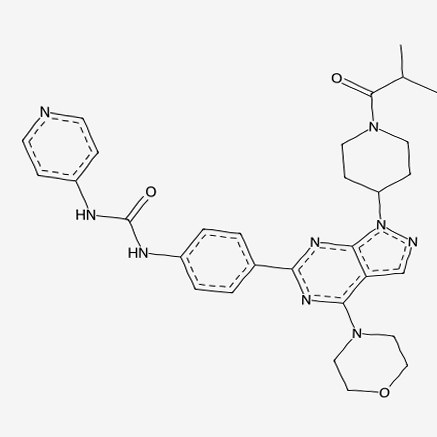 CC(C)C(=O)N1CCC(n2ncc3c(N4CCOCC4)nc(-c4ccc(NC(=O)Nc5ccncc5)cc4)nc32)CC1